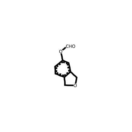 O=COc1ccc2c(c1)COC2